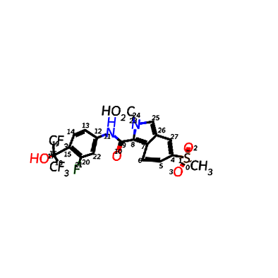 CS(=O)(=O)c1ccc2c(C(=O)Nc3ccc(C(O)(C(F)(F)F)C(F)(F)F)c(F)c3)n(C(=O)O)cc2c1